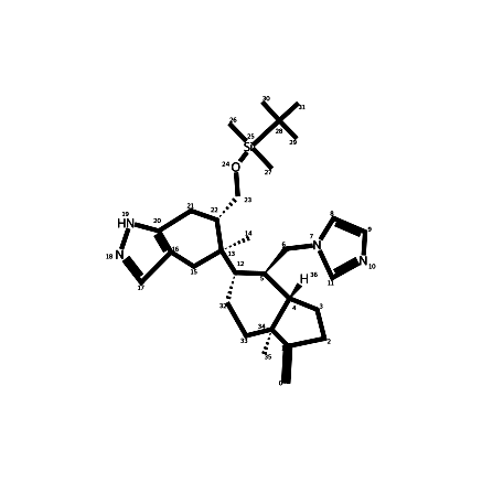 C=C1CC[C@H]2[C@H](Cn3ccnc3)[C@@H]([C@@]3(C)Cc4cn[nH]c4C[C@@H]3CO[Si](C)(C)C(C)(C)C)CC[C@]12C